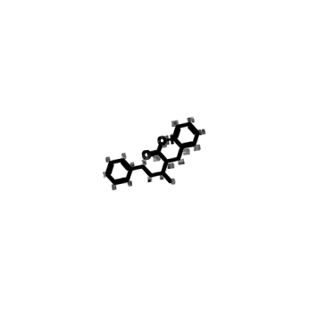 CC(CCc1ccccc1)C(Cc1ccccc1)C(=O)O